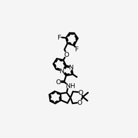 Cc1nc2c(OCc3c(F)cccc3F)cccn2c1C(=O)NC1c2ccccc2CC12COC(C)(C)OC2